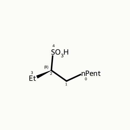 CCCCCC[C@@H](CC)S(=O)(=O)O